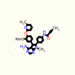 CC#CC(=O)Nc1ccc(-c2c(-c3ccc(Oc4cccc(C)n4)c(OC)c3)c3c(N)ncnc3n2C)cc1